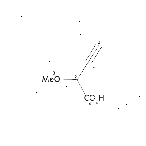 C#CC(O[CH2])C(=O)O